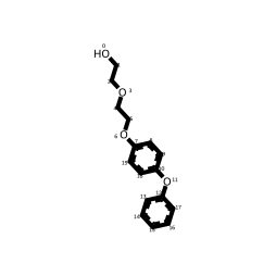 OCCOCCOc1ccc(Oc2ccccc2)cc1